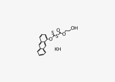 O=C(OCCO)SC(=S)Oc1cccc2cc3ccccc3cc12.[KH]